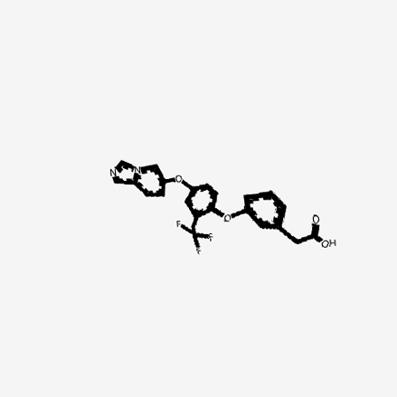 O=C(O)Cc1cccc(Oc2ccc(Oc3ccc4cncn4c3)cc2C(F)(F)F)c1